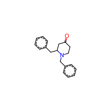 O=C1CCN(Cc2ccccc2)C(Cc2ccccc2)C1